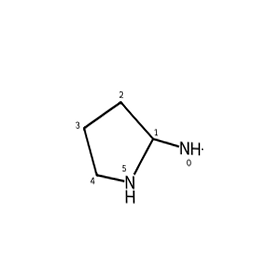 [NH]C1CCCN1